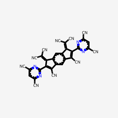 N#CC(C#N)=C1C(c2nc(C#N)cc(C#N)n2)=C(C#N)c2cc3c(cc21)C(=C(C#N)C#N)C(c1nc(C#N)cc(C#N)n1)=C3C#N